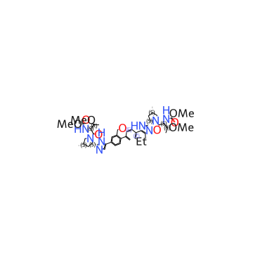 C=C1/C(=C\C(=C\CC)c2[nH]c([C@@H]3C[C@H](C)CN3C(=O)[C@@H](NC(=O)OC)[C@@H](C)OC)nc2C)OCc2cc(-c3cnc([C@@H]4C[C@H](C)CN4C(=O)[C@@H](NC(=O)OC)[C@@H](C)OC)[nH]3)ccc21